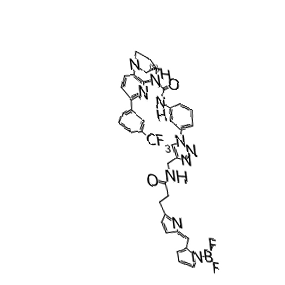 O=C(CCC1=NC(=Cc2cccn2B(F)F)C=C1)NCc1cn(-c2cccc(NC(=O)N3c4nc(-c5cccc(C(F)(F)F)c5)ccc4N4CC[C@H]3C4)c2)nn1